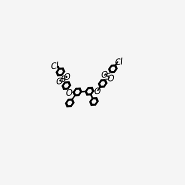 O=S(=O)(c1ccc(Cl)cc1)c1ccc(Oc2ccc(-c3ccc(Oc4ccc(S(=O)(=O)c5ccc(Cl)cc5)cc4)c(-c4ccccc4)c3)cc2-c2ccccc2)cc1